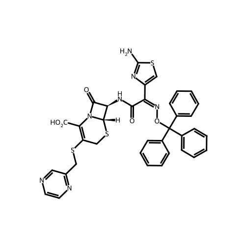 Nc1nc(/C(=N/OC(c2ccccc2)(c2ccccc2)c2ccccc2)C(=O)N[C@@H]2C(=O)N3C(C(=O)O)=C(SCc4cnccn4)CS[C@@H]23)cs1